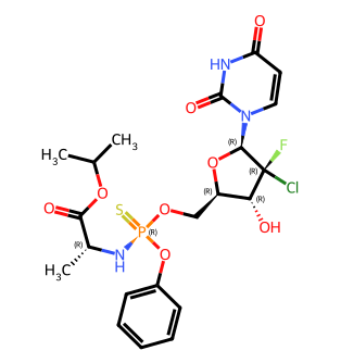 CC(C)OC(=O)[C@@H](C)N[P@@](=S)(OC[C@H]1O[C@@H](n2ccc(=O)[nH]c2=O)[C@](F)(Cl)[C@@H]1O)Oc1ccccc1